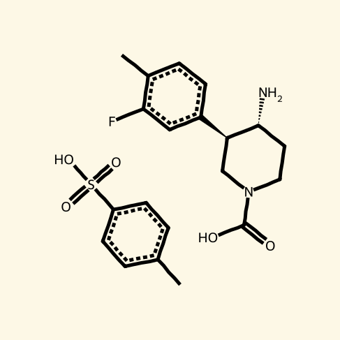 Cc1ccc(S(=O)(=O)O)cc1.Cc1ccc([C@@H]2CN(C(=O)O)CC[C@H]2N)cc1F